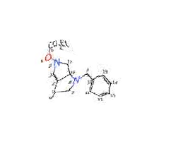 CCOC(=O)ON1CC2C(C)CN(Cc3ccccc3)C2C1